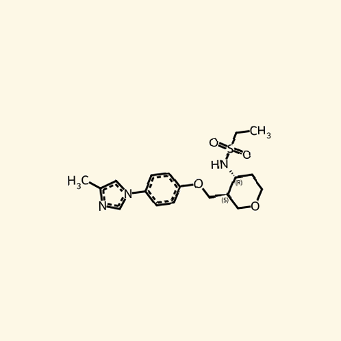 CCS(=O)(=O)N[C@@H]1CCOC[C@H]1COc1ccc(-n2cnc(C)c2)cc1